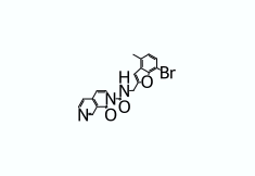 Cc1ccc(Br)c2oc(CNC(=O)n3ccc4ccncc4c3=O)cc12